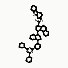 c1ccc(-c2nc(-c3ccccc3)nc(-c3cccc(-c4ccc(-c5ccc(-c6nc7c(ccc8c9ccccc9oc87)o6)c6ccc7ccccc7c56)c5ccccc45)c3)n2)cc1